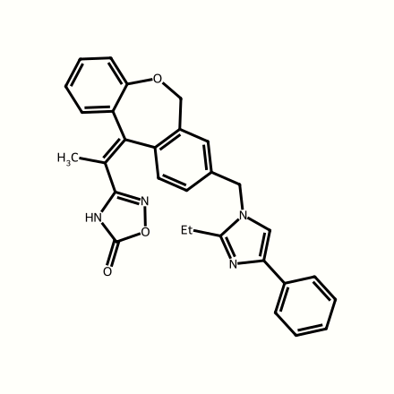 CCc1nc(-c2ccccc2)cn1Cc1ccc2c(c1)COc1ccccc1C2=C(C)c1noc(=O)[nH]1